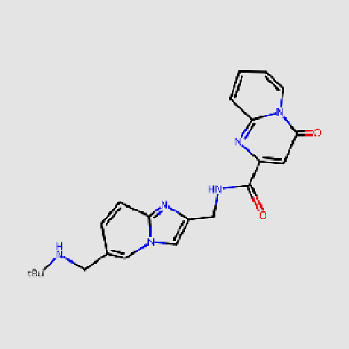 CC(C)(C)NCc1ccc2nc(CNC(=O)c3cc(=O)n4ccccc4n3)cn2c1